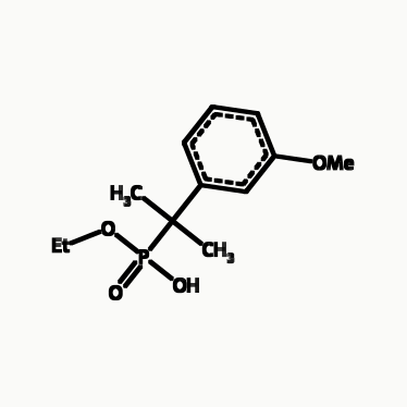 CCOP(=O)(O)C(C)(C)c1cccc(OC)c1